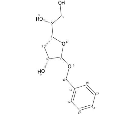 OC[C@@H](O)[C@H]1[CH][C@@H](O)C(OCc2ccccc2)O1